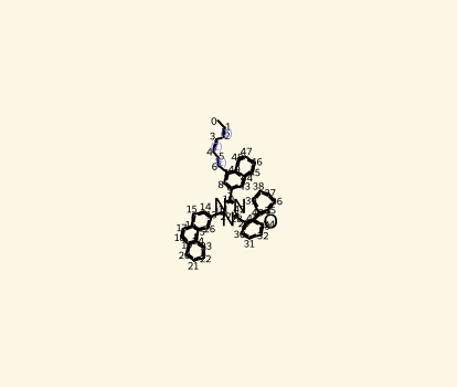 C\C=C/C=C\C=C\c1cc(-c2nc(-c3ccc4ccc5ccccc5c4c3)nc(-c3cccc4oc5ccccc5c34)n2)cc2ccccc12